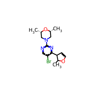 CC1OC=CC1c1nc(N2C[C@@H](C)O[C@@H](C)C2)ncc1Br